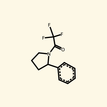 O=C(N1CCCC1c1ccccc1)C(F)(F)F